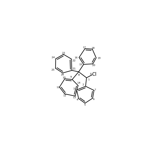 ClC(c1ccccc1)C(c1ccccc1)(c1ccccc1)c1ccccc1